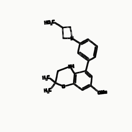 COc1cc2c(c(-c3cccc(N4CC(C(=O)O)C4)c3)c1)NCC(C)(C)O2